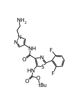 CC(C)(C)OC(=O)Nc1sc(-c2c(F)cccc2F)nc1C(=O)Nc1cnn(CCN)c1